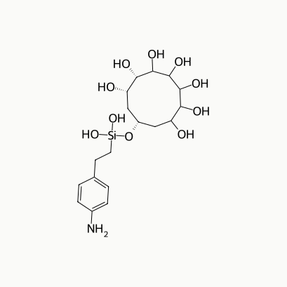 Nc1ccc(CC[Si](O)(O)O[C@H]2CC(O)C(O)C(O)C(O)C(O)[C@@H](O)[C@@H](O)C2)cc1